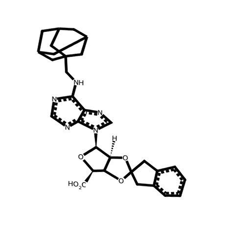 O=C(O)[C@H]1O[C@@H](n2cnc3c(NCC45CC6CC(CC(C6)C4)C5)ncnc32)[C@H]2OC3(Cc4ccccc4C3)OC12